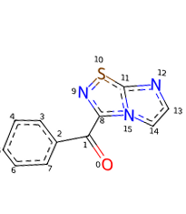 O=C(c1ccccc1)c1nsc2nccn12